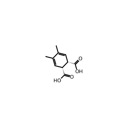 CC1=C[C@H](C(=O)O)[C@H](C(=O)O)C=C1C